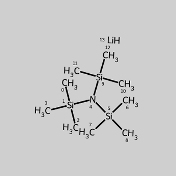 C[Si](C)(C)N([Si](C)(C)C)[Si](C)(C)C.[LiH]